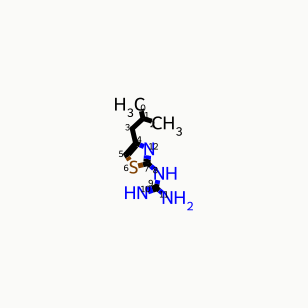 CC(C)Cc1csc(NC(=N)N)n1